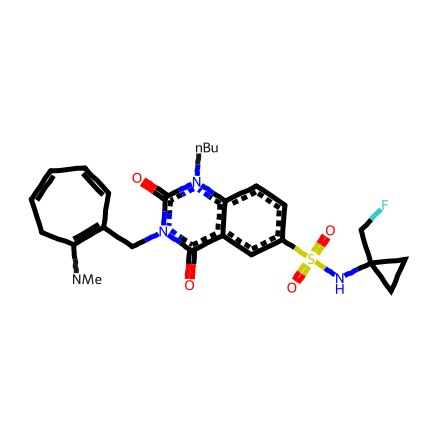 CCCCn1c(=O)n(CC2=C(NC)CC=CC=C2)c(=O)c2cc(S(=O)(=O)NC3(CF)CC3)ccc21